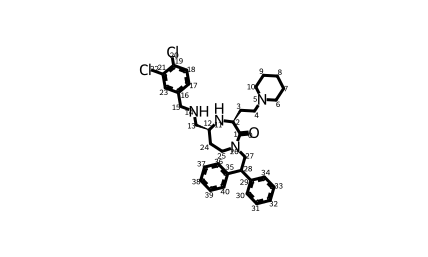 O=C1[C@H](CCN2CCCCC2)N[C@H](CNCc2ccc(Cl)c(Cl)c2)CCN1CC(c1ccccc1)c1ccccc1